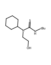 CC(C)(C)NC(=S)N(CCO)C1CCCCC1